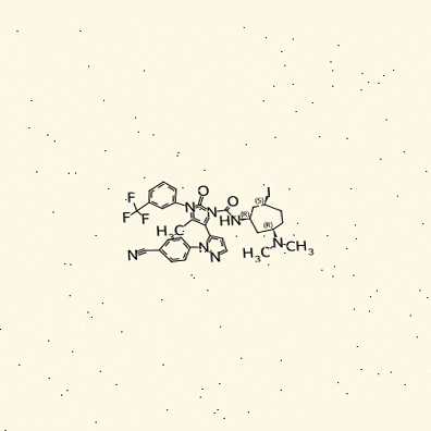 Cc1c(-c2ccnn2-c2ccc(C#N)cc2)n(C(=O)N[C@H]2C[C@@H](I)CC[C@@H](N(C)C)C2)c(=O)n1-c1cccc(C(F)(F)F)c1